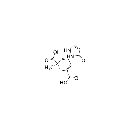 CC1(C(=O)O)C=CC=C(C(=O)O)C1.O=c1cc[nH][nH]1